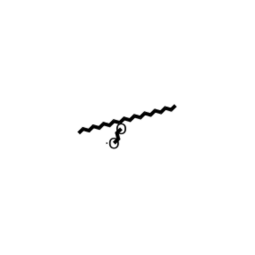 CCCCCCCCCCCC(CCCCCCCC)OCC[O]